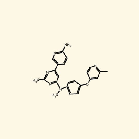 Cc1cc(Oc2ccc(N(N)c3cc(-c4ccc(N)nc4)nc(N)n3)cc2)ccn1